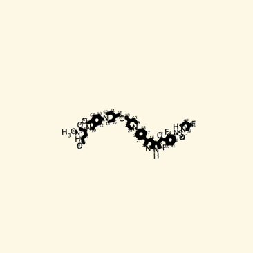 CNC(=O)C(CCC=O)N1Cc2cc(N3CCC(COCC4CCN(c5ccc(-c6cnc7[nH]cc(C(=O)c8c(F)ccc(N[S+]([O-])N9CCC(F)C9)c8F)c7c6)cc5)CC4)CC3)ccc2C1=O